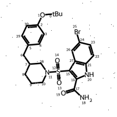 CC(C)(C)Oc1ccc(CC2CCCN(S(=O)(=O)c3c(C(N)=O)[nH]c4ccc(Br)cc34)C2)cc1